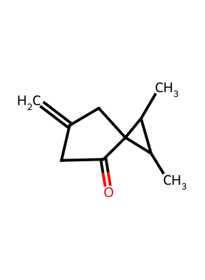 C=C1CC(=O)C2(C1)C(C)C2C